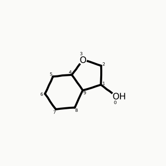 OC1COC2CCCCC12